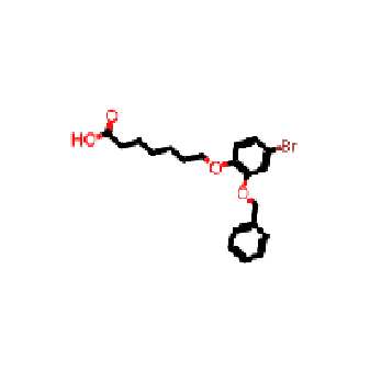 O=C(O)CCCCCCOc1ccc(Br)cc1OCc1ccccc1